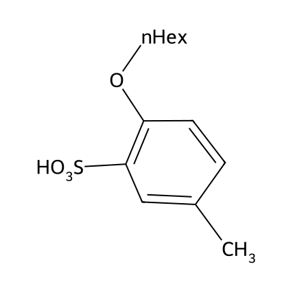 CCCCCCOc1ccc(C)cc1S(=O)(=O)O